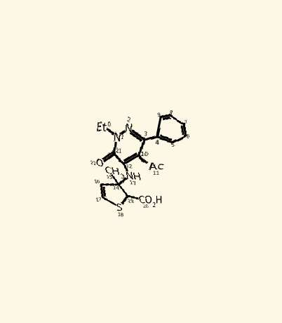 CCn1nc(-c2ccccc2)c(C(C)=O)c(NC2(C)C=CSC2C(=O)O)c1=O